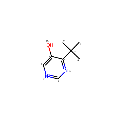 CC(C)(C)c1ncncc1O